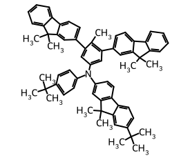 Cc1c(-c2ccc3c(c2)C(C)(C)c2ccccc2-3)cc(N(c2ccc(C(C)(C)C)cc2)c2ccc3c(c2)C(C)(C)c2cc(C(C)(C)C)ccc2-3)cc1-c1ccc2c(c1)C(C)(C)c1ccccc1-2